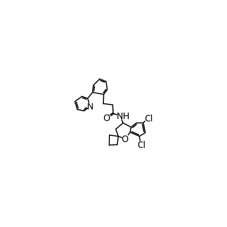 O=C(CCc1ccccc1-c1ccccn1)NC1CC2(CCC2)Oc2c(Cl)cc(Cl)cc21